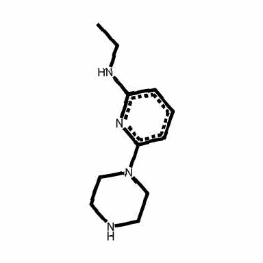 CCNc1cccc(N2CCNCC2)n1